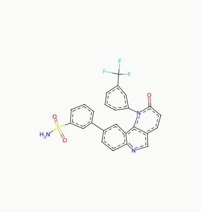 NS(=O)(=O)c1cccc(-c2ccc3ncc4ccc(=O)n(-c5cccc(C(F)(F)F)c5)c4c3c2)c1